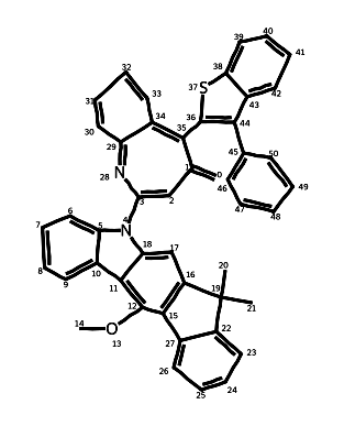 C=C1C=C(n2c3ccccc3c3c(OC)c4c(cc32)C(C)(C)c2ccccc2-4)N=c2ccccc2=C1c1sc2ccccc2c1-c1ccccc1